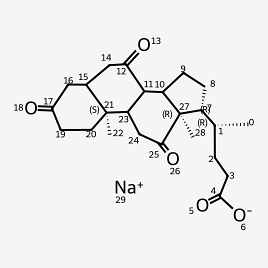 C[C@H](CCC(=O)[O-])[C@H]1CCC2C3C(=O)CC4CC(=O)CC[C@]4(C)C3CC(=O)[C@@]21C.[Na+]